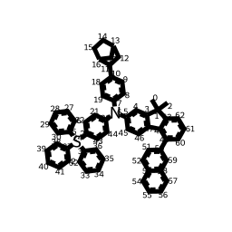 CC1(C)c2cc(N(c3ccc(C4CC5CCC4C5)cc3)c3ccc(S(c4ccccc4)(c4ccccc4)c4ccccc4)cc3)ccc2-c2c(-c3ccc4ccccc4c3)cccc21